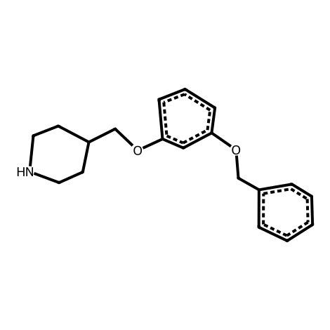 c1ccc(COc2cccc(OCC3CCNCC3)c2)cc1